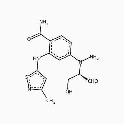 Cc1cc(Nc2cc(N(N)[C@@H](C=O)CO)ccc2C(N)=O)sn1